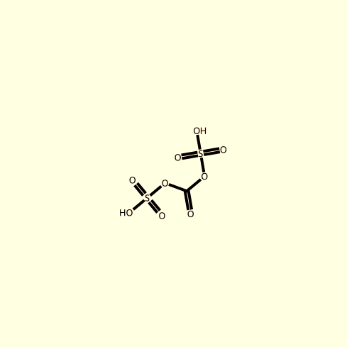 O=C(OS(=O)(=O)O)OS(=O)(=O)O